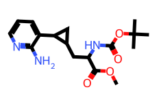 COC(=O)C(CC1CC1c1cccnc1N)NC(=O)OC(C)(C)C